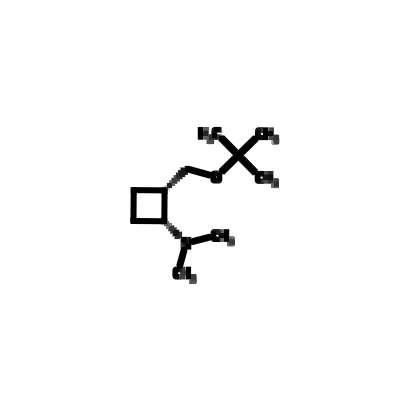 CN(C)[C@@H]1CC[C@@H]1COC(C)(C)C